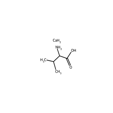 CC(C)C(N)C(=O)O.[CaH2]